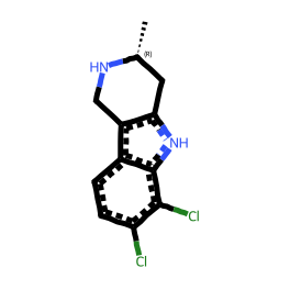 C[C@@H]1Cc2[nH]c3c(Cl)c(Cl)ccc3c2CN1